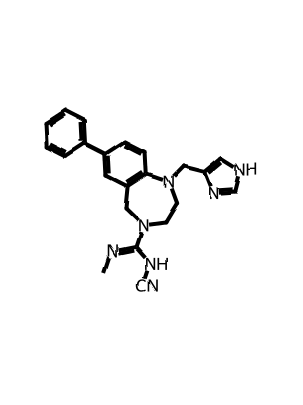 CN=C(NC#N)N1CCN(Cc2c[nH]cn2)c2ccc(-c3ccccc3)cc2C1